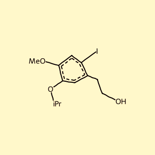 COc1cc(I)c(CCO)cc1OC(C)C